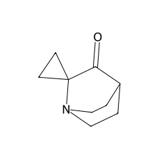 O=C1C2CCN(CC2)C12CC2